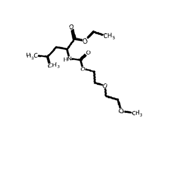 CCOC(=O)C(CC(C)C)NC(=O)OCCOCCOC